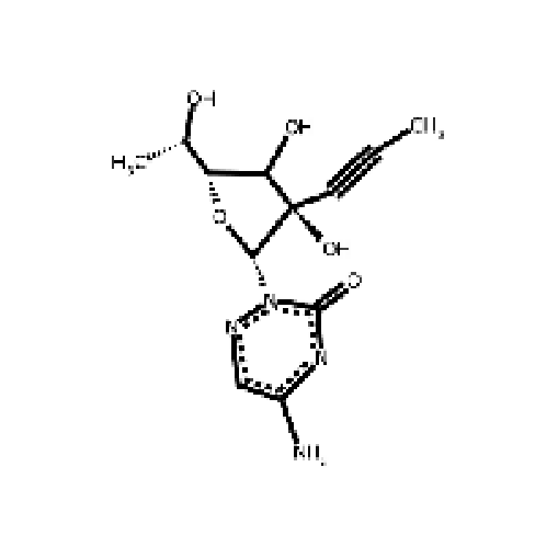 CC#C[C@@]1(O)C(O)[C@@H]([C@H](C)O)O[C@H]1n1ncc(N)nc1=O